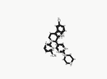 N#Cc1ccnc(N2CCc3c([nH]c4ccc(Cl)cc34)C2c2cnc(N3CCOCC3)nc2)n1